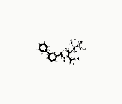 CC(C)C[C@@H](NC(=O)[C@@H](NC(=O)c1cccc(-c2ccccc2)n1)[C@@H](C)O)B(O)O